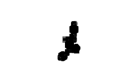 COc1ccc(OCC(=O)Nc2ccc(OCCN3CCOCC3)c(-c3ccnn3C)c2)cc1